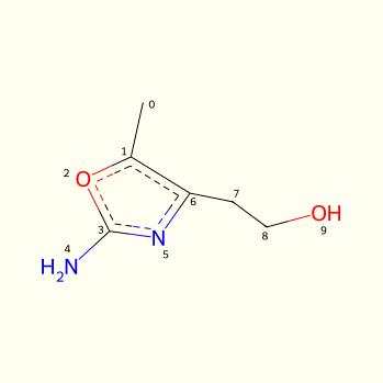 Cc1oc(N)nc1CCO